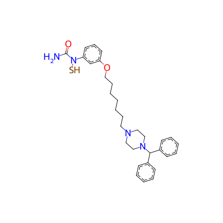 NC(=O)N(S)c1cccc(OCCCCCCCN2CCN(C(c3ccccc3)c3ccccc3)CC2)c1